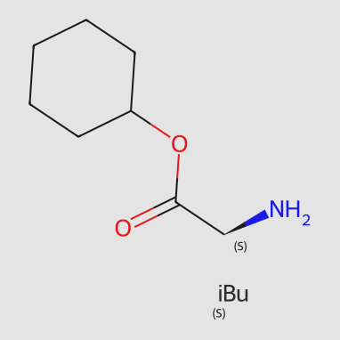 CC[C@H](C)[C@H](N)C(=O)OC1CCCCC1